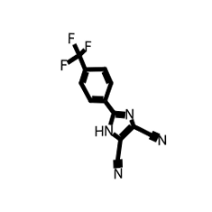 N#Cc1nc(-c2ccc(C(F)(F)F)cc2)[nH]c1C#N